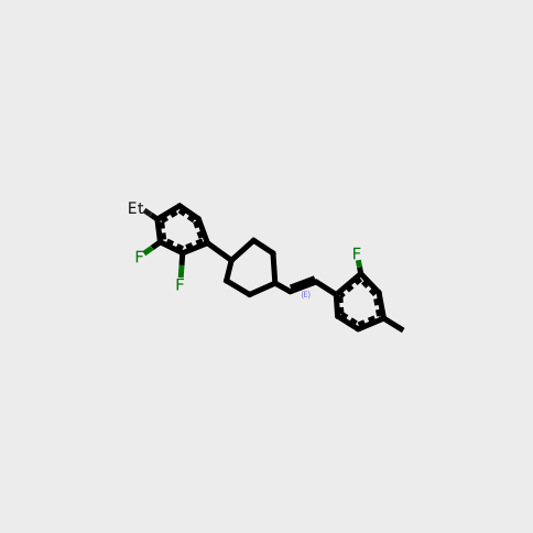 CCc1ccc(C2CCC(/C=C/c3ccc(C)cc3F)CC2)c(F)c1F